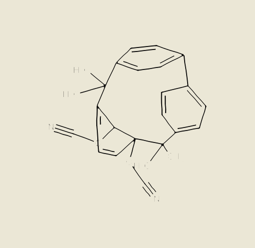 CC1(C)C2=CC=CC(OC#N)(C2OC#N)C(C)(C)c2ccc(cc2)-c2ccc1cc2